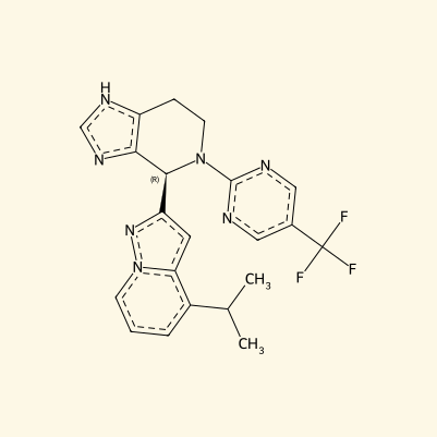 CC(C)c1cccn2nc([C@H]3c4nc[nH]c4CCN3c3ncc(C(F)(F)F)cn3)cc12